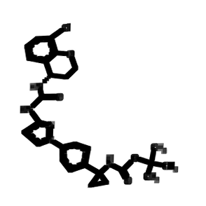 CC(C)(C)OC(=O)NC1(c2ccc(-n3ccc(NC(=O)N[C@H]4CCOc5c(Cl)cccc54)n3)cc2)CC1